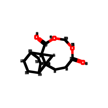 O=C1CCC23CC2(C(=O)OCO1)C1CCC3CC1